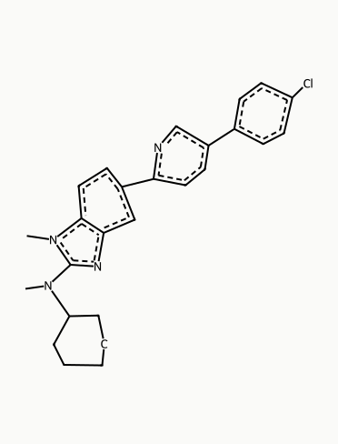 CN(c1nc2cc(-c3ccc(-c4ccc(Cl)cc4)cn3)ccc2n1C)C1CCCCC1